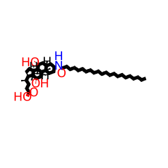 CCCCCCCCCCCCCCCCCCCCCC(=O)N[C@H]1CC[C@@]2(C)[C@@H](C1)C[C@@H](O)[C@@H]1[C@@H]2C[C@H](O)[C@]2(C)[C@@H]([C@H](C)CCC(=O)O)CC[C@@H]12